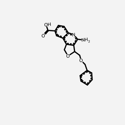 Nc1nc2ccc(C(=O)O)cc2c2c1C(COCc1ccccc1)OC2